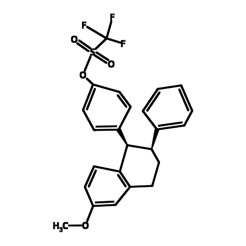 COc1ccc2c(c1)CC[C@H](c1ccccc1)[C@@H]2c1ccc(OS(=O)(=O)C(F)(F)F)cc1